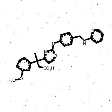 CC(CC(=O)O)(c1cccc(OC(F)(F)F)c1)c1ccnc(Oc2ccc(CNc3ccccn3)cc2)n1